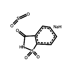 O=C1NS(=O)(=O)c2ccccc21.O=[Si]=O.[NaH]